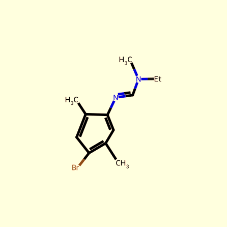 CCN(C)/C=N/c1cc(C)c(Br)cc1C